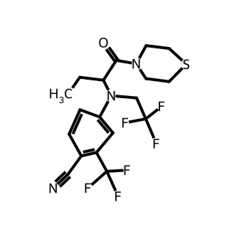 CCC(C(=O)N1CCSCC1)N(CC(F)(F)F)c1ccc(C#N)c(C(F)(F)F)c1